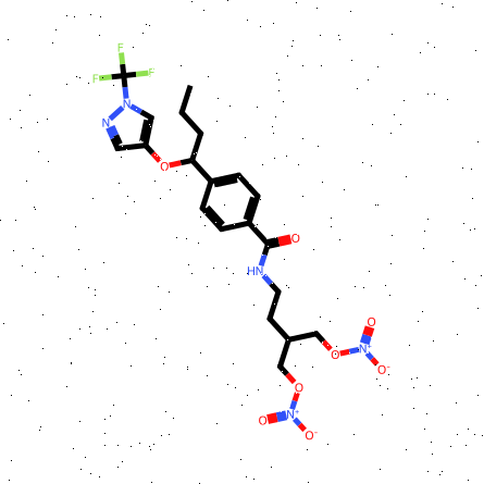 CCCC(Oc1cnn(C(F)(F)F)c1)c1ccc(C(=O)NCCC(CO[N+](=O)[O-])CO[N+](=O)[O-])cc1